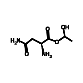 CC(O)OC(=O)[C@@H](N)CC(N)=O